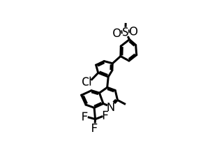 Cc1cc(-c2cc(-c3cccc(S(C)(=O)=O)c3)ccc2Cl)c2cccc(C(F)(F)F)c2n1